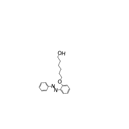 OCCCCCCOc1ccccc1N=Nc1ccccc1